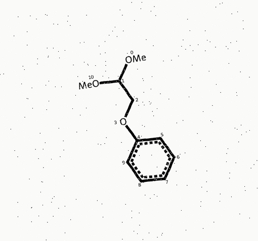 CO[C](COc1ccccc1)OC